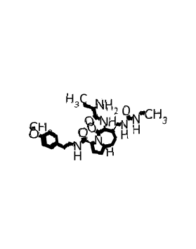 CCNC(=O)NC[C@H]1CC[C@H]2CC[C@@H](C(=O)NCCc3ccc(OC)cc3)N2C(=O)[C@H]1NC(=O)[C@@H](N)CC